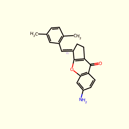 Cc1ccc(C)c(/C=C2\CCc3c2oc2cc(N)ccc2c3=O)c1